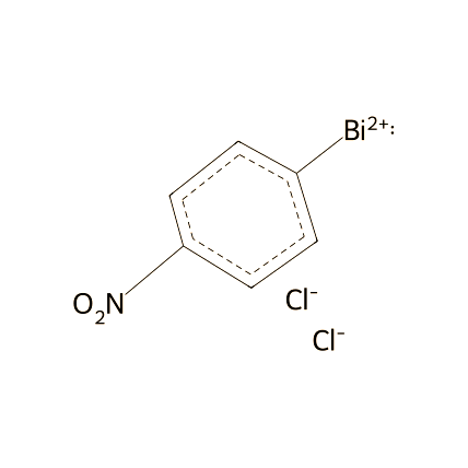 O=[N+]([O-])c1cc[c]([Bi+2])cc1.[Cl-].[Cl-]